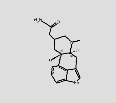 CN1CC(CC(N)=O)C[C@H]2c3cccc4[nH]cc(c34)C[C@@H]21